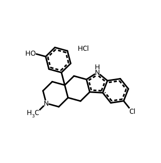 CN1CCC2(c3cccc(O)c3)Cc3[nH]c4ccc(Cl)cc4c3CC2C1.Cl